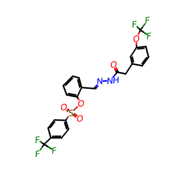 O=C(Cc1cccc(OC(F)(F)F)c1)NN=Cc1ccccc1OS(=O)(=O)c1ccc(C(F)(F)F)cc1